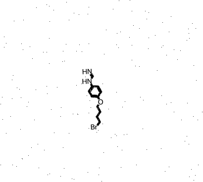 N=CNc1ccc(OCCCCBr)cc1